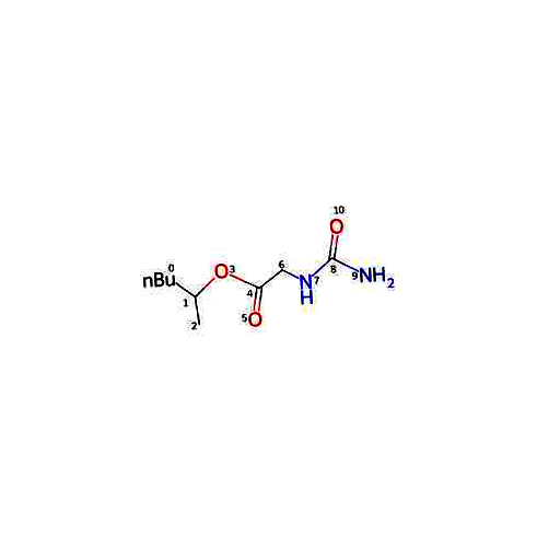 CCCCC(C)OC(=O)CNC(N)=O